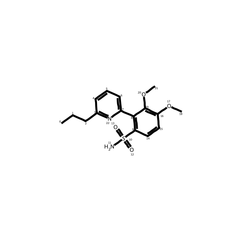 CCCc1cccc(-c2c(S(N)(=O)=O)ccc(OC)c2OC)n1